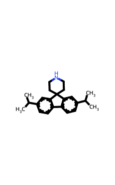 CC(C)c1ccc2c(c1)C1(CCNCC1)c1cc(C(C)C)ccc1-2